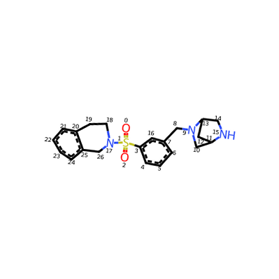 O=S(=O)(c1cccc(CN2CC3CC2CN3)c1)N1CCc2ccccc2C1